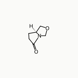 O=C1CC[C@H]2COCN12